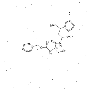 CSC(CC(NC(=O)[C@H](CC(C)C)NC(=O)OCc1ccccc1)C(C)=O)c1ccccc1